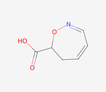 O=C(O)C1CC=CC=NO1